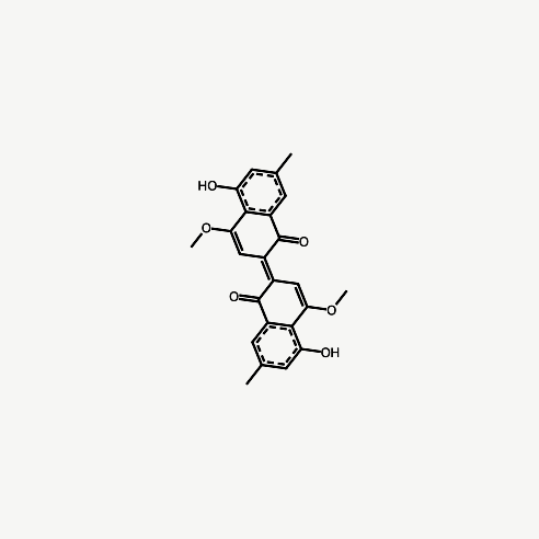 COC1=CC(=C2C=C(OC)c3c(O)cc(C)cc3C2=O)C(=O)c2cc(C)cc(O)c21